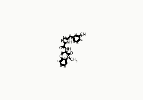 CN1C(=O)C(NC(=O)c2nnc(Cc3cccc(C#N)c3)[nH]2)COc2ccccc21